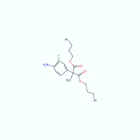 CC(C)CCCOC(=O)C(C)(C(=O)OCCCC(C)C)c1ccc(N)c(F)c1